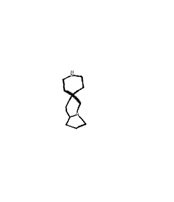 C1CC2CC3(CCNCC3)CN2C1